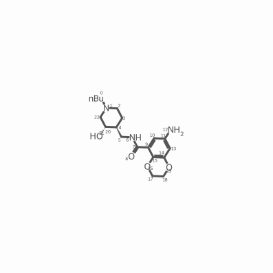 CCCCN1CC[C@@H](CNC(=O)c2cc(N)cc3c2OCCO3)[C@H](O)C1